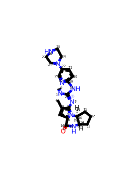 C=N/C(=N\c1c(C)cc2n1[C@H]1CCC[C@@H]1NC2=O)Nc1ccc(N2CCNCC2)cn1